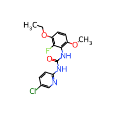 CCOc1ccc(OC)c(NC(=O)Nc2ccc(Cl)cn2)c1F